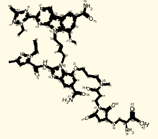 CCn1nc(C)cc1C(=O)Nc1nc2cc(C(N)=O)cc(OCCCN(C)C(=O)CCN3C(=O)CC(SC[C@H](N)C(=O)O)C3=O)c2n1C/C=C/Cn1c2nc(-c3nc(C)nn3CC)ncc2c2cc(C(N)=O)cc(OC)c21